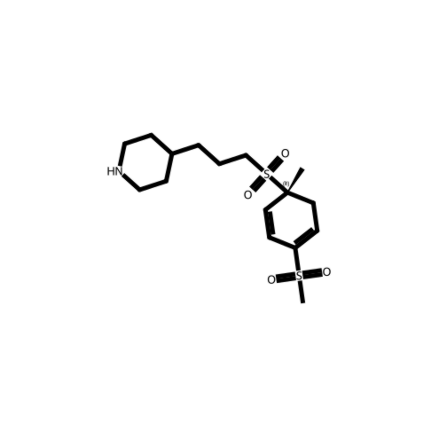 C[C@]1(S(=O)(=O)CCCC2CCNCC2)C=CC(S(C)(=O)=O)=CC1